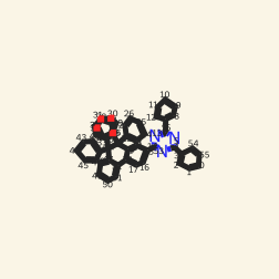 c1ccc(-c2nc(-c3ccccc3)nc(-c3ccc4c(c3)C(c3ccccc3)(c3ccccc3)C(c3ccccc3)(c3ccccc3)c3ccccc3-4)n2)cc1